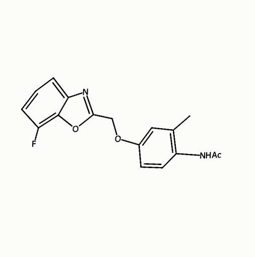 CC(=O)Nc1ccc(OCc2nc3cccc(F)c3o2)cc1C